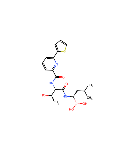 CC(C)C[C@H](NC(=O)[C@@H](NC(=O)c1cccc(-c2cccs2)n1)[C@@H](C)O)B(O)O